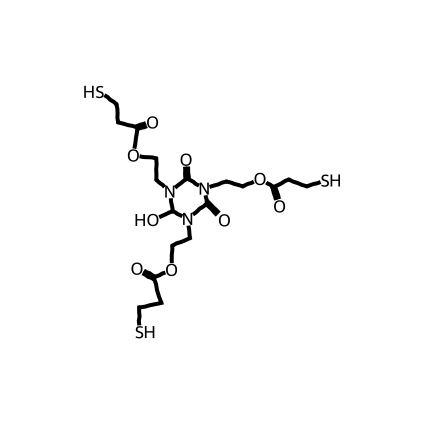 O=C(CCS)OCCN1C(=O)N(CCOC(=O)CCS)C(O)N(CCOC(=O)CCS)C1=O